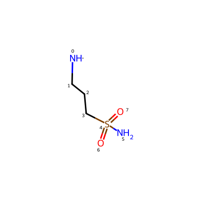 [NH]CCCS(N)(=O)=O